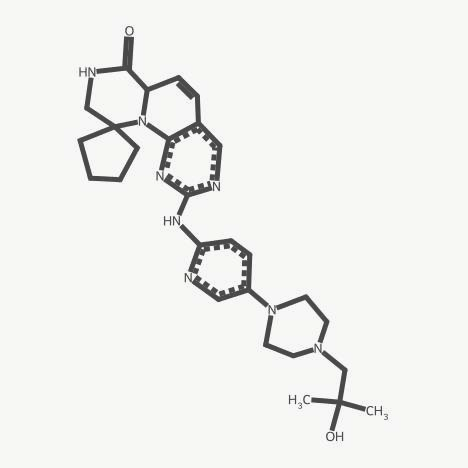 CC(C)(O)CN1CCN(c2ccc(Nc3ncc4c(n3)N3C(C=C4)C(=O)NCC34CCCC4)nc2)CC1